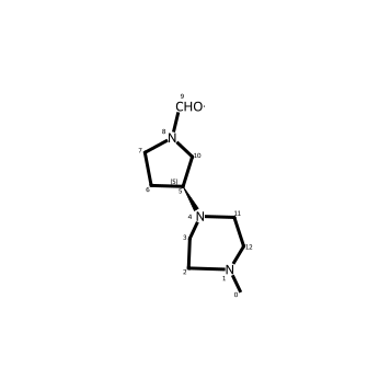 CN1CCN([C@H]2CCN([C]=O)C2)CC1